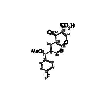 COC(c1ccc(F)cc1)c1cnc2occ(C(=O)O)c(=O)c2c1